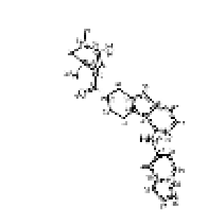 CN1C[C@H]2C[C@@H]1CN2C(=O)[C@H]1CCc2c(sc3ncnc(Nc4ccn5nccc5c4)c23)C1